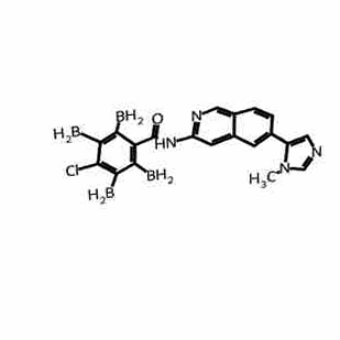 Bc1c(B)c(C(=O)Nc2cc3cc(-c4cncn4C)ccc3cn2)c(B)c(B)c1Cl